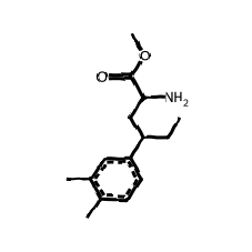 CCC(CC(N)C(=O)OC)c1ccc(C)c(C)c1